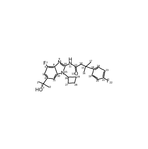 CC(C)(O)c1cc(F)c2nc(NC(=O)CC(C)(C)c3ccc(F)cc3)n(C3CCC3)c2c1